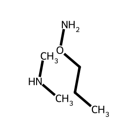 CCCON.CNC